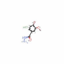 COc1cc(C(=O)NN)ccc1Br.Cl